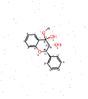 CO[C@@]1(O)c2ccccc2O[C@H](c2ccccc2)[C@H]1O